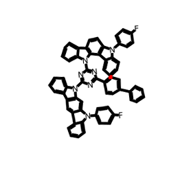 Fc1ccc(-n2c3ccccc3c3cc4c5ccccc5n(-c5nc(-c6ccc(-c7ccccc7)cc6)nc(-n6c7ccccc7c7ccc8c(c9ccccc9n8-c8ccc(F)cc8)c76)n5)c4cc32)cc1